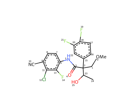 COCC(C(=O)Nc1ccc(C#N)c(Cl)c1F)(c1ccc(F)c(F)c1)C(C)O